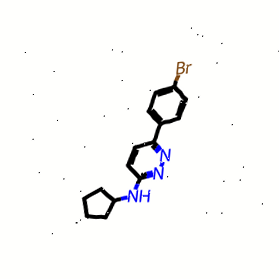 Brc1ccc(-c2ccc(NC3CCCC3)nn2)cc1